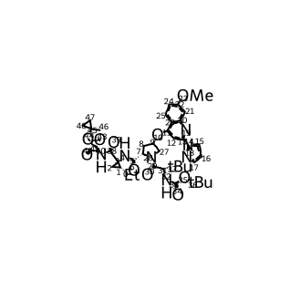 CC[C@@H]1C[C@]1(NC(=O)[C@@H]1C[C@@H](Oc2cc(-n3cccn3)nc3cc(OC)ccc23)CN1C(=O)[C@@H](NC(=O)OC(C)(C)C)C(C)(C)C)C(=O)NS(=O)(=O)OC1(C)CC1